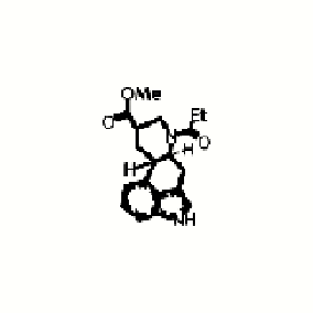 CCC(=O)N1CC(C(=O)OC)C[C@H]2c3cccc4[nH]cc(c34)C[C@@H]21